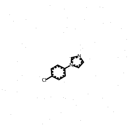 Clc1ccc(-n2[c]ncc2)cc1